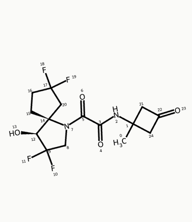 CC1(NC(=O)C(=O)N2CC(F)(F)[C@@H](O)[C@@]23CCC(F)(F)C3)CC(=O)C1